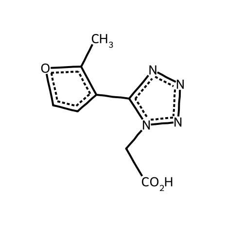 Cc1occc1-c1nnnn1CC(=O)O